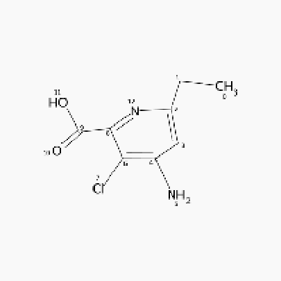 CCc1cc(N)c(Cl)c(C(=O)O)n1